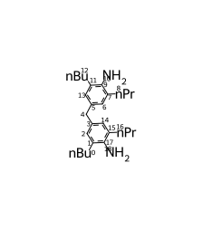 CCCCc1cc(Cc2cc(CCC)c(N)c(CCCC)c2)cc(CCC)c1N